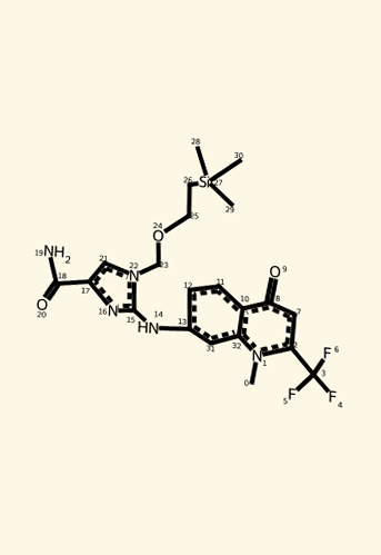 Cn1c(C(F)(F)F)cc(=O)c2ccc(Nc3nc(C(N)=O)cn3COCC[Si](C)(C)C)cc21